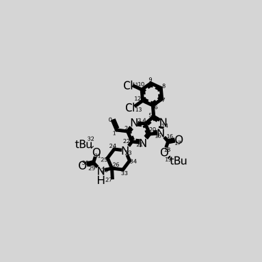 C=Cc1nc2c(-c3cccc(Cl)c3Cl)nn(C(=O)OC(C)(C)C)c2nc1N1CCC(C)(NC(=O)OC(C)(C)C)CC1